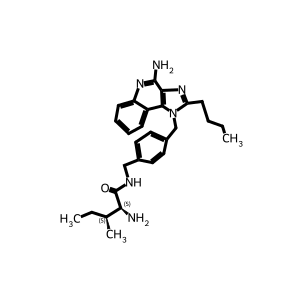 CCCCc1nc2c(N)nc3ccccc3c2n1Cc1ccc(CNC(=O)[C@@H](N)[C@@H](C)CC)cc1